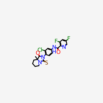 CC12CCCCN1C(=S)N(c1ccc(NC(=O)c3ncc(F)cc3F)cc1Cl)C2=O